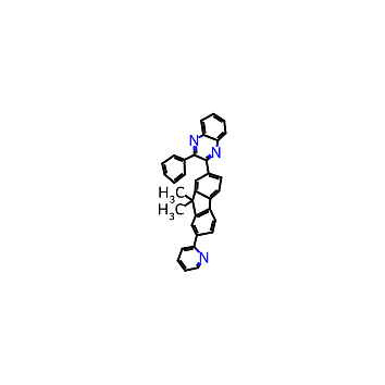 CC1(C)c2cc(-c3ccccn3)ccc2-c2ccc(-c3nc4ccccc4nc3-c3ccccc3)cc21